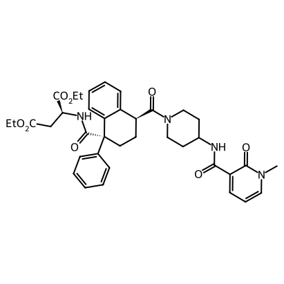 CCOC(=O)C[C@H](NC(=O)[C@@]1(c2ccccc2)CC[C@H](C(=O)N2CCC(NC(=O)c3cccn(C)c3=O)CC2)c2ccccc21)C(=O)OCC